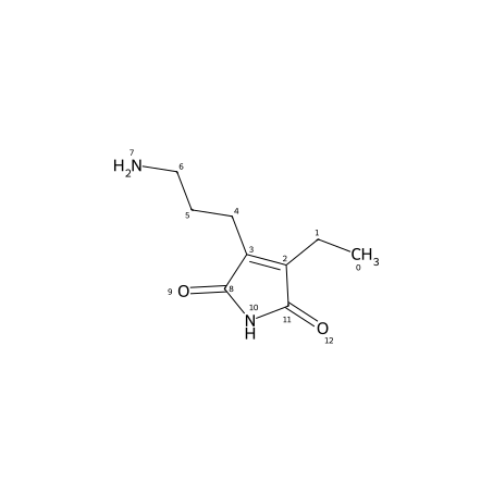 CCC1=C(CCCN)C(=O)NC1=O